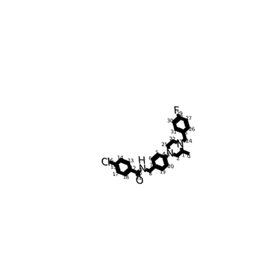 CC1CN(c2ccc(CNC(=O)c3ccc(Cl)cc3)cc2)CCN1Cc1ccc(F)cc1